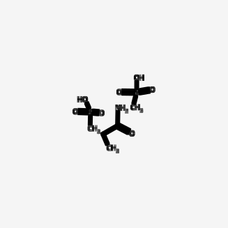 CCC(N)=O.CS(=O)(=O)O.CS(=O)(=O)O